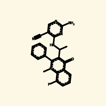 CC(Nc1nc(N)ncc1C#N)c1c(-c2ccccc2)n(C)c2c(F)cccc2c1=O